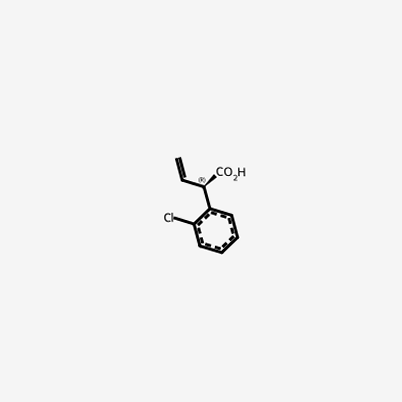 C=C[C@@H](C(=O)O)c1ccccc1Cl